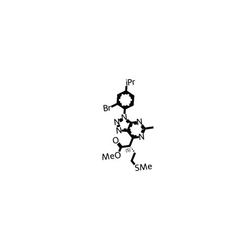 COC(=O)[C@@H](CCSC)c1nc(C)nc2c1nnn2-c1ccc(C(C)C)cc1Br